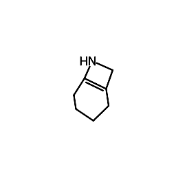 C1CCC2=C(C1)CN2